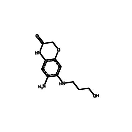 Nc1cc2c(cc1NCCCO)OCC(=O)N2